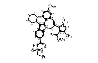 COC(=O)c1c(C)nn(C)c1C1=Cc2cc(OC)ccc2-c2c(C3CCCCC3)c3ccc(C(=O)NS(=O)(=O)CC(C)C)cc3n2C1